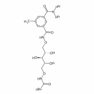 CCCCC(=O)NOCC(O)[C@@H](O)[C@@H](O)CONC(=O)c1cc(C)cc(C(=O)N(CCC)CCC)c1